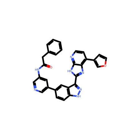 O=C(Cc1ccccc1)Nc1cncc(-c2ccc3[nH]nc(-c4nc5c(-c6ccoc6)ccnc5[nH]4)c3c2)c1